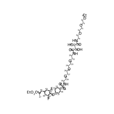 CCOCCOCCOCCNC(=O)[C@H](O)[C@@H](O)C(=O)NCCOCCOCCOCCNS(=O)(=O)c1ccc(Oc2c(F)cc(/C=C(\C)C(=O)OCC)cc2F)cc1